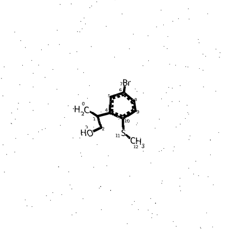 [CH2]C(CO)c1cc(Br)ccc1SC